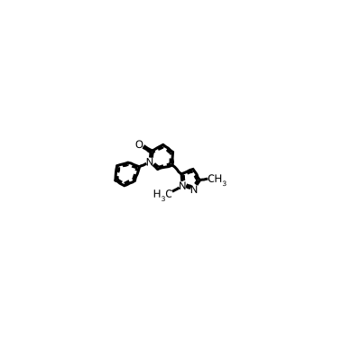 Cc1cc(-c2ccc(=O)n(-c3ccccc3)c2)n(C)n1